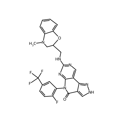 CN1CC(CNc2ncc3c4n[nH]cc4c(=O)n(-c4cc(C(F)(F)F)ccc4F)c3n2)Oc2ccccc21